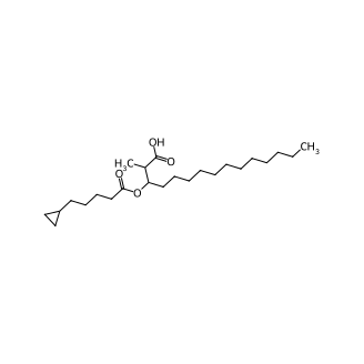 CCCCCCCCCCCCC(OC(=O)CCCCC1CC1)C(C)C(=O)O